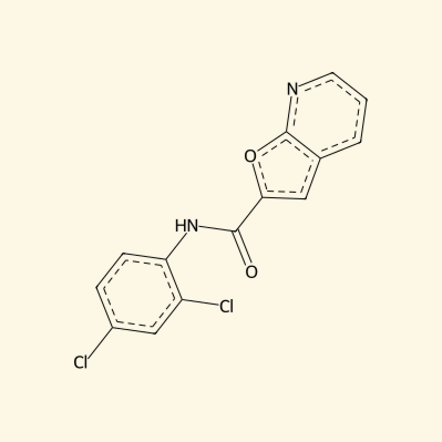 O=C(Nc1ccc(Cl)cc1Cl)c1cc2cccnc2o1